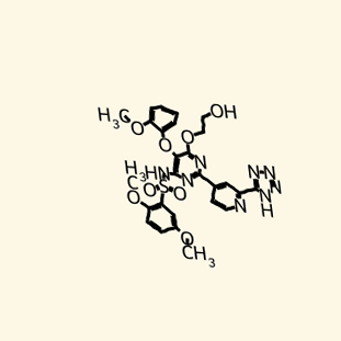 COc1ccc(OC)c(S(=O)(=O)Nc2nc(-c3ccnc(-c4nnn[nH]4)c3)nc(OCCO)c2Oc2ccccc2OC)c1